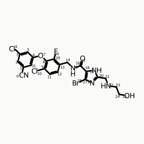 N#Cc1cc(Cl)cc(Oc2c(Cl)ccc(CNC(=O)c3[nH]c(CNCCO)nc3Br)c2F)c1